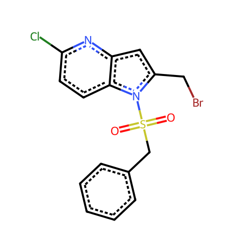 O=S(=O)(Cc1ccccc1)n1c(CBr)cc2nc(Cl)ccc21